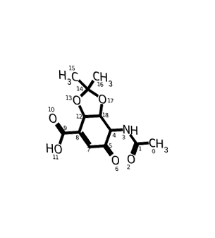 CC(=O)NC1C(=O)C=C(C(=O)O)C2OC(C)(C)OC12